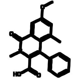 COc1cc(C)c2c(-c3ccccc3)c(C(=O)O)n(C)c(=O)c2c1